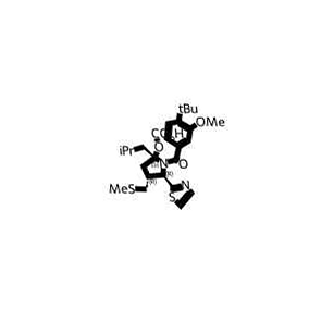 COc1cc(C(=O)N2[C@@H](c3nccs3)[C@H](CSC)C[C@]2(CC(C)C)OC(=O)O)ccc1C(C)(C)C